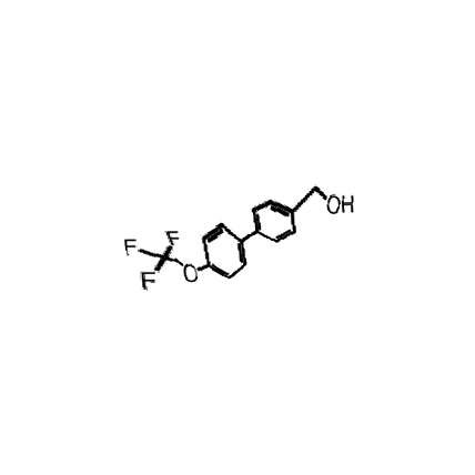 OCc1ccc(-c2ccc(OC(F)(F)F)cc2)cc1